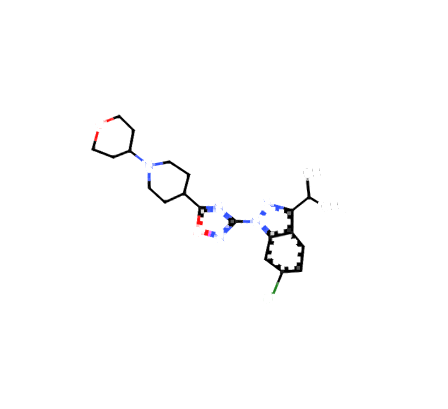 CC(C)c1nn(-c2noc(C3CCN(C4CCOCC4)CC3)n2)c2cc(Cl)ccc12